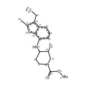 CC(C)(C)OC(=O)N1CCC(Nc2cccc3c(CC(F)(F)F)c(I)sc23)C(Cl)C1